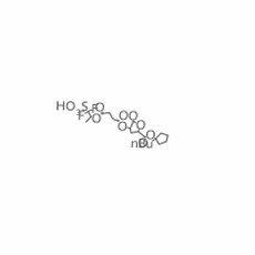 CCCCC1(OC(=O)C2CC(OC(=O)CCC(=O)OC(C)C(F)(F)S(=O)(=O)O)C(=O)O2)CCCC1